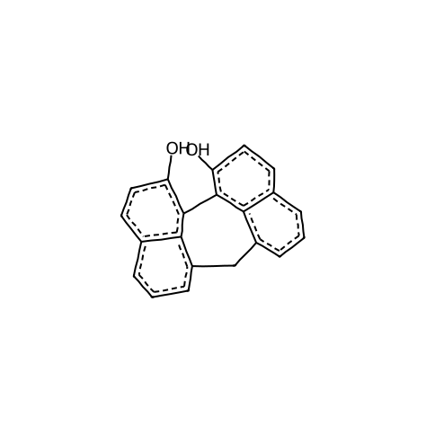 Oc1ccc2cccc3c2c1-c1c(O)ccc2cccc(c12)C3